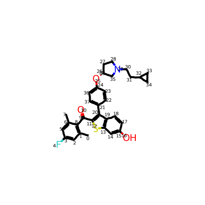 Cc1cc(F)cc(C)c1C(=O)c1sc2cc(O)ccc2c1-c1ccc(O[C@@H]2CCN(CCC3CC3)C2)cc1